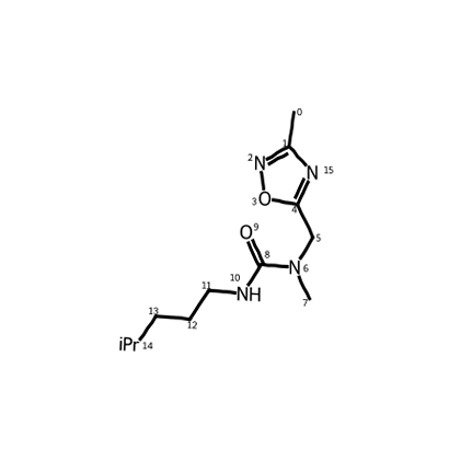 Cc1noc(CN(C)C(=O)NCCCC(C)C)n1